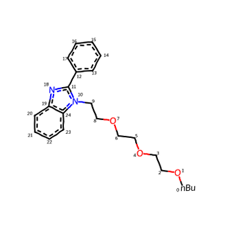 CCCCOCCOCCOCCn1c(-c2ccccc2)nc2ccccc21